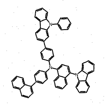 c1ccc(-n2c3ccccc3c3ccc(-c4ccc(N(c5ccc(-c6cccc7ccccc67)cc5)c5ccc(-n6c7ccccc7c7ccccc76)c6ccccc56)cc4)cc32)cc1